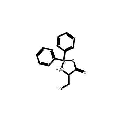 O=C1O[B-](c2ccccc2)(c2ccccc2)[NH2+]C1CO